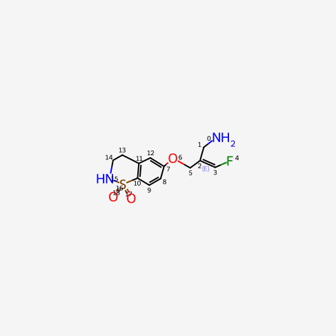 NC/C(=C\F)COc1ccc2c(c1)CCNS2(=O)=O